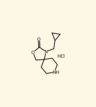 Cl.O=C1OCC2(CCNCC2)N1CC1CC1